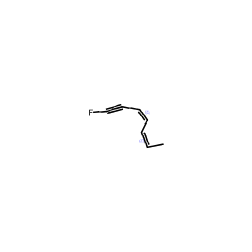 C/C=C\C=C/C#CF